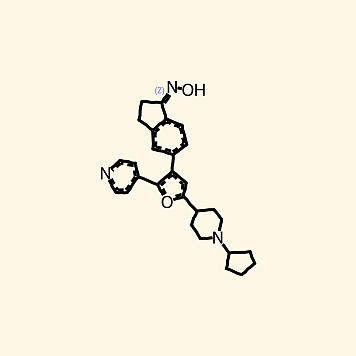 O/N=C1/CCc2cc(-c3cc(C4CCN(C5CCCC5)CC4)oc3-c3ccncc3)ccc21